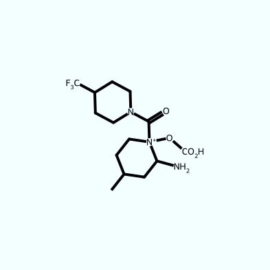 CC1CC[N+](OC(=O)O)(C(=O)N2CCC(C(F)(F)F)CC2)C(N)C1